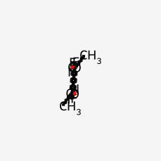 CCCCCCC(OC(=O)c1ccc(-c2ccc(-c3ccc(C(=O)OC(CCCCCC)C(F)(F)F)nc3)cc2)cn1)C(F)(F)F